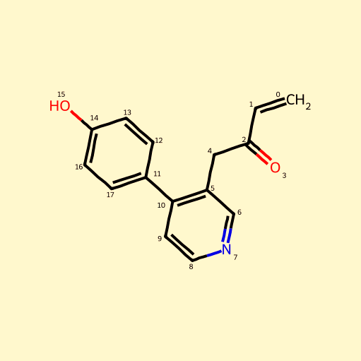 C=CC(=O)Cc1cnccc1-c1ccc(O)cc1